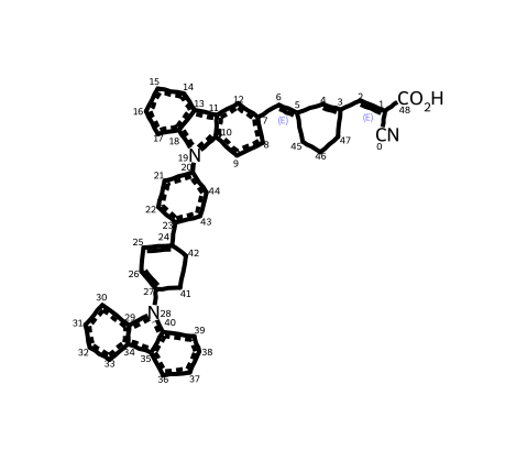 N#C/C(=C\C1=CC(=C/c2ccc3c(c2)c2ccccc2n3-c2ccc(C3=CC=C(n4c5ccccc5c5ccccc54)CC3)cc2)/CCC1)C(=O)O